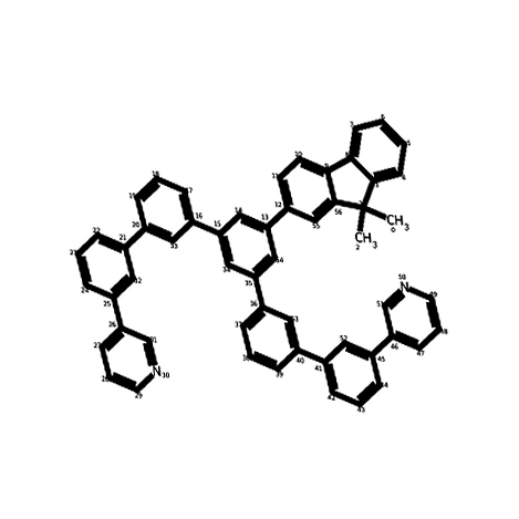 CC1(C)c2ccccc2-c2ccc(-c3cc(-c4cccc(-c5cccc(-c6cccnc6)c5)c4)cc(-c4cccc(-c5cccc(-c6cccnc6)c5)c4)c3)cc21